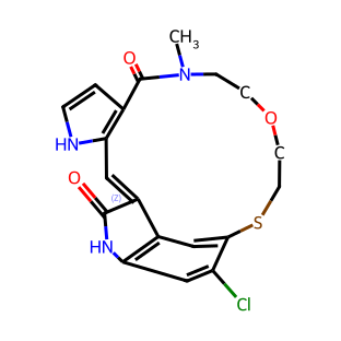 CN1CCOCCSc2cc3c(cc2Cl)NC(=O)/C3=C\c2[nH]ccc2C1=O